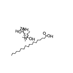 CCCCCCCCCCCCCCCCCC(=O)O.CN(C)C(O)=S.NC(O)=S.[Zn]